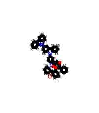 c1ccc(-c2ccccc2-c2cccc3oc4cccc(-n5c6ccccc6c6cc(-n7c8ccccc8c8cc(-n9c%10ccccc%10c%10ccccc%109)ccc87)ccc65)c4c23)cc1